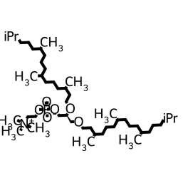 CC(C)CCCC(C)CCCC(C)CCCC(C)CCOC[C@@H](COP(=O)([O-])OCC[N+](C)(C)C)OCCC(C)CCCC(C)CCCC(C)CCCC(C)C